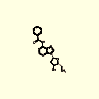 NC[C@H]1O[C@@H](n2cnc3c(NC(=O)c4ccccc4)ncnc32)C[C@@H]1O